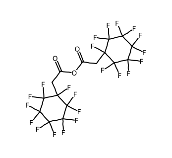 O=C(CC1(F)C(F)(F)C(F)(F)C(F)(F)C(F)(F)C1(F)F)OC(=O)CC1(F)C(F)(F)C(F)(F)C(F)(F)C(F)(F)C1(F)F